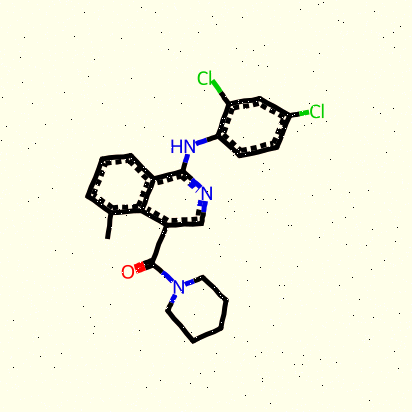 Cc1cccc2c(Nc3ccc(Cl)cc3Cl)ncc(C(=O)N3CCCCC3)c12